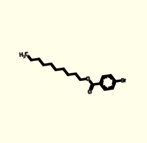 CCCCCCCCCCOC(=O)c1ccc(Br)cc1